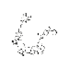 O=C(CCCC[C@H]1SC[C@H]2NC(=O)N[C@H]21)NC(Cc1cn(CCc2ccc(O)c(/N=N/c3ccc(C(=O)ON4C(=O)CCC4=O)cc3)c2)nn1)C(=O)NCCCOCCOCCOCCCNC(=O)c1ccc(C(=O)c2ccccc2)cc1